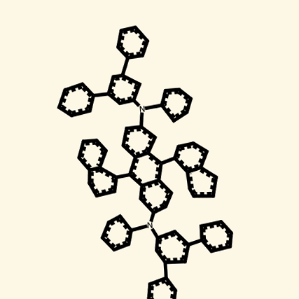 c1ccc(-c2cc(-c3ccccc3)cc(N(c3ccccc3)c3ccc4c(-c5cccc6ccccc56)c5cc(N(c6ccccc6)c6cc(-c7ccccc7)cc(-c7ccccc7)c6)ccc5c(-c5cccc6ccccc56)c4c3)c2)cc1